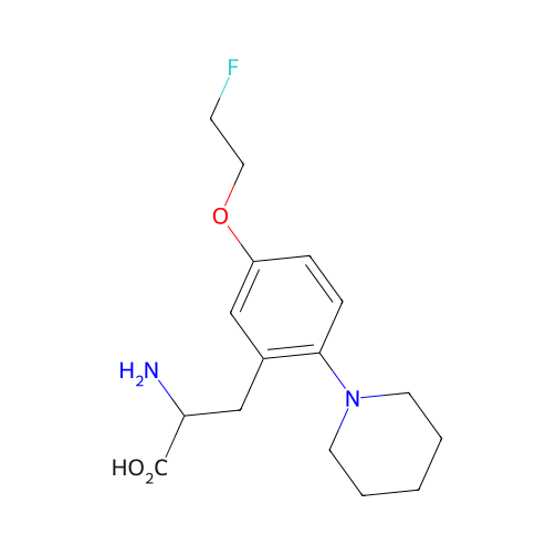 NC(Cc1cc(OCCF)ccc1N1CCCCC1)C(=O)O